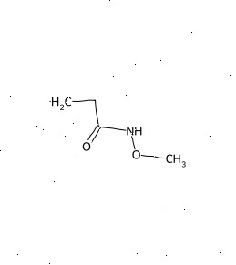 [CH2]CC(=O)NOC